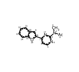 CC(=O)N(C)c1nccc(-c2cc3ccccc3o2)n1